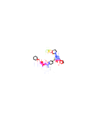 C[C@H](NC(=O)OCc1ccccc1)C(=O)Nc1ccc(C2S/C(=N\c3cccc(OC(F)(F)F)c3)N(Cc3ccco3)C2=O)cc1